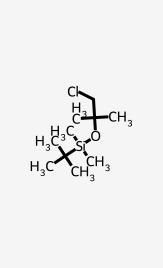 CC(C)(CCl)O[Si](C)(C)C(C)(C)C